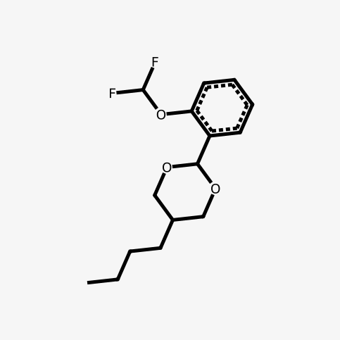 CCCCC1COC(c2ccccc2OC(F)F)OC1